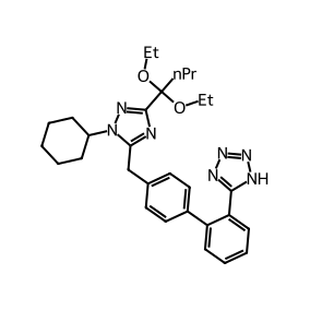 CCCC(OCC)(OCC)c1nc(Cc2ccc(-c3ccccc3-c3nnn[nH]3)cc2)n(C2CCCCC2)n1